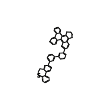 c1cc(-c2cccc(-c3ccc4c5ccccc5c5c6ccccc6c6ccccc6c5c4c3)c2)cc(-c2ccc3c(c2)CCSc2ccccc2-3)c1